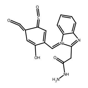 NNC(=O)CC1=Nc2ccccc2[N+]1=Cc1cc(=C=O)c(=C=O)cc1O